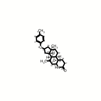 Cc1ccc(OC2C[C@H]3[C@@H]4C(C)CC5NC(=O)CC[C@]5(C)[C@@H]4CC[C@]3(C)C2)cc1